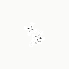 O=P(O)(O)O.[Mg+2].[O-][Si]([O-])([O-])[O-].[Sr+2]